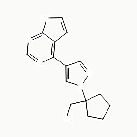 N#CCC1(n2cc(-c3ncnc4[nH]ccc34)cn2)CCCC1